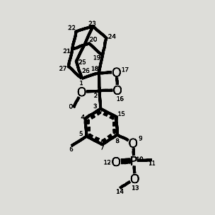 COC1(c2cc(C)cc(OP(C)(=O)OC)c2)OOC12C1CC3CC(C1)CC2C3